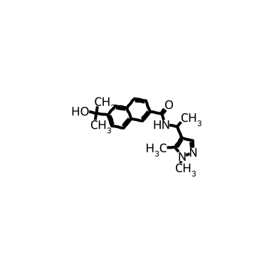 Cc1c(C(C)NC(=O)c2ccc3cc(C(C)(C)O)ccc3c2)cnn1C